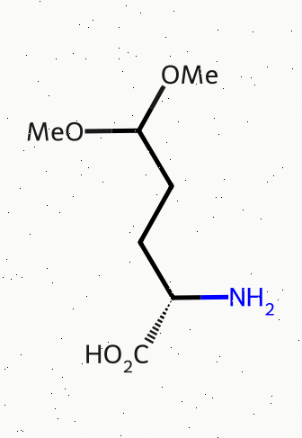 COC(CC[C@H](N)C(=O)O)OC